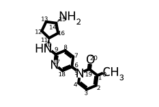 Cc1cccn(-c2ccc(N[C@H]3CC[C@H](N)C3)nc2)c1=O